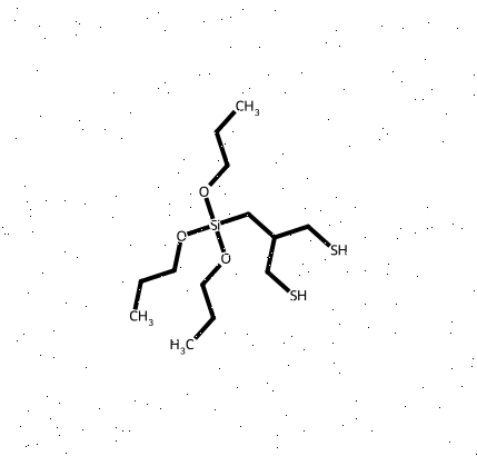 CCCO[Si](CC(CS)CS)(OCCC)OCCC